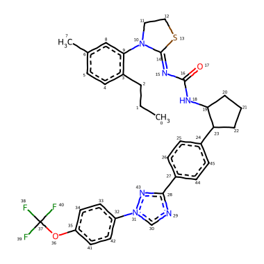 CCCc1ccc(C)cc1N1CCS/C1=N\C(=O)NC1CCCC1c1ccc(-c2ncn(-c3ccc(OC(F)(F)F)cc3)n2)cc1